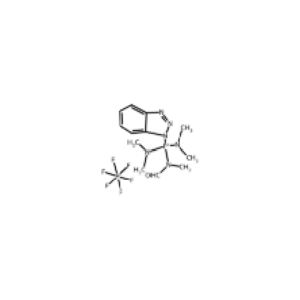 CN(C)[P+](N(C)C)(N(C)C=O)n1nnc2ccccc21.F[P-](F)(F)(F)(F)F